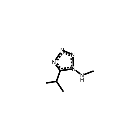 CNn1nnnc1C(C)C